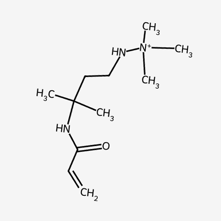 C=CC(=O)NC(C)(C)CCN[N+](C)(C)C